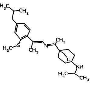 CSc1cc(CC(C)C)ccc1/C(C)=C/N=C(\C)C12CCC(NC(C)C)(CC1)CC2